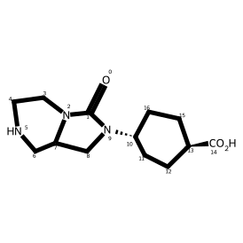 O=C1N2CCNCC2CN1[C@H]1CC[C@H](C(=O)O)CC1